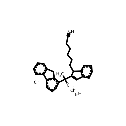 C#CCCCCCC1C(C(C)(C)c2cccc3c2Cc2ccccc2-3)=Cc2ccccc21.[Cl-].[Cl-].[Ti+2]